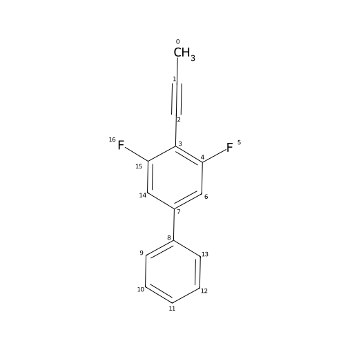 CC#Cc1c(F)cc(-c2ccccc2)cc1F